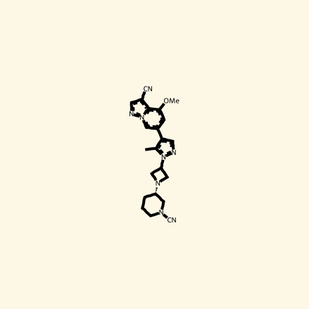 COc1cc(-c2cnn(C3CN([C@H]4CCCN(C#N)C4)C3)c2C)cn2ncc(C#N)c12